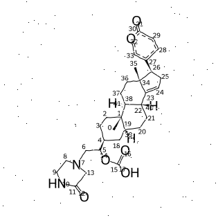 C[C@]12CC[C@H](C(CN3CCNC(=O)C3)OC(=O)O)C[C@H]1CC[C@H]1C3=CC[C@H](c4ccc(=O)oc4)[C@@]3(C)CC[C@@H]12